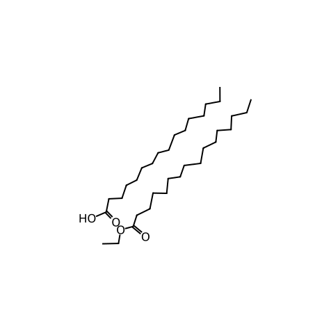 CCCCCCCCCCCCCCCC(=O)O.CCCCCCCCCCCCCCCC(=O)OCC